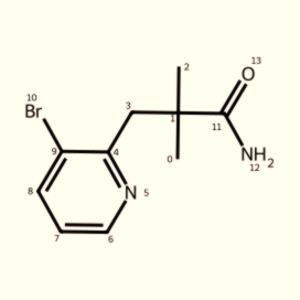 CC(C)(Cc1ncccc1Br)C(N)=O